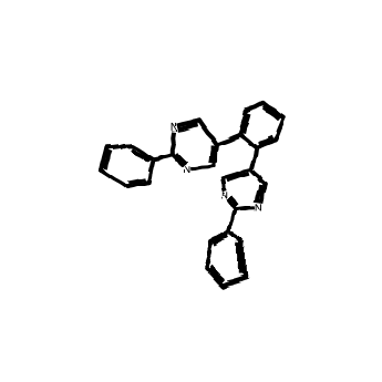 c1ccc(-c2ncc(-c3ccccc3-c3cnc(-c4ccccc4)nc3)cn2)cc1